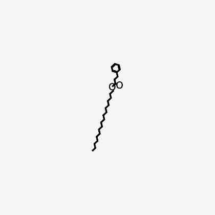 CCCCCCCCCCCCCCCCCCOC(=O)CCc1ccccc1